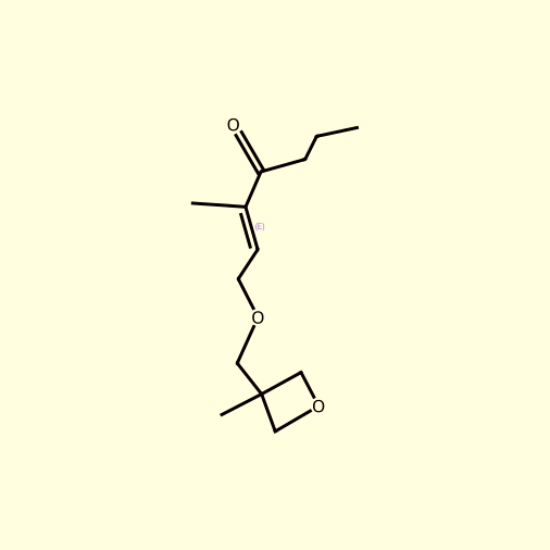 CCCC(=O)/C(C)=C/COCC1(C)COC1